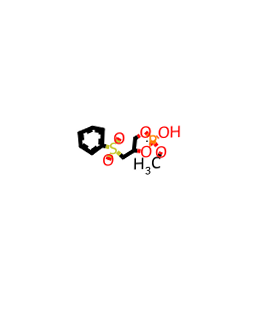 CO[P]1(O)OCC(CS(=O)(=O)c2ccccc2)O1